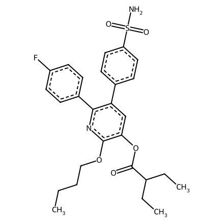 CCCCOc1nc(-c2ccc(F)cc2)c(-c2ccc(S(N)(=O)=O)cc2)cc1OC(=O)C(CC)CC